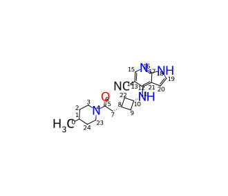 CC1CCN(C(=O)C[C@H]2C[C@@H](Nc3c(C#N)cnc4[nH]ccc34)C2)CC1